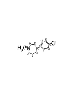 CN1CCCC(c2ccc(Cl)cc2)CC1